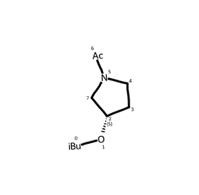 CCC(C)O[C@H]1CCN(C(C)=O)C1